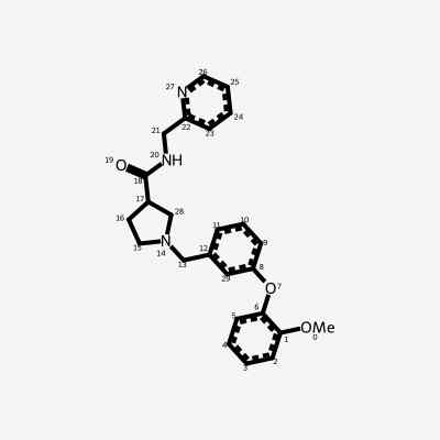 COc1ccccc1Oc1cccc(CN2CCC(C(=O)NCc3ccccn3)C2)c1